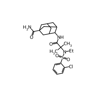 CCN(C(C)(C)C(=O)NC1C2CC3CC1CC(C(N)=O)(C3)C2)S(=O)(=O)c1ccccc1Cl